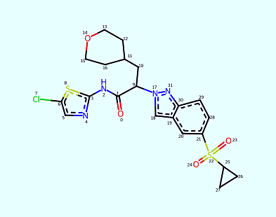 O=C(Nc1ncc(Cl)s1)C(CC1CCOCC1)n1cc2cc(S(=O)(=O)C3CC3)ccc2n1